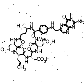 C=CC[C@H](NC(=O)[C@H](CC(=O)O)NC(=O)CC[C@@H](C)NC(=O)c1ccc(NCc2cnc3nc(N)[nH]c(=O)c3n2)cc1)C(=O)N[C@@H](CC(=O)O)C(=O)N[C@@H](CC(=O)O)C(=O)NC